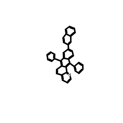 c1ccc(-c2c3cc(-c4ccc5ccccc5c4)ccc3c(-c3ccccc3)c3c2ccc2cccnc23)cc1